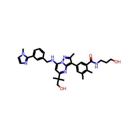 Cc1cc(-c2c(C)nn3c(NCc4cccc(-c5nccn5C)c4)cc(C(C)(C)CO)nc23)cc(C(=O)NCCCO)c1C